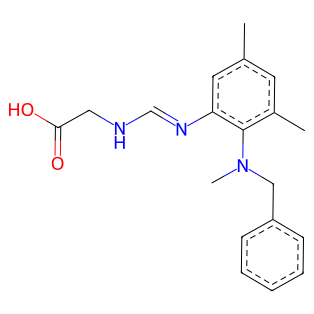 Cc1cc(C)c(N(C)Cc2ccccc2)c(N=CNCC(=O)O)c1